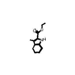 CCOC(=O)c1[nH]c2c(c1C)CCCC2